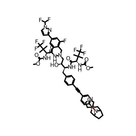 COC(=O)N[C@H](C(=O)N[C@@H](Cc1ccc(C#Cc2ccc(N3CC4CCC(C3)N4[C@H]3CCOC3)nc2)cc1)[C@@H](O)CN(Cc1c(F)cc(-c2ccn(C(F)F)n2)cc1F)NC(=O)[C@@H](NC(=O)OC)C(C)(C)C(F)(F)F)C(C)(C)C(F)(F)F